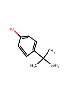 C[C](C)([SbH2])c1ccc(O)cc1